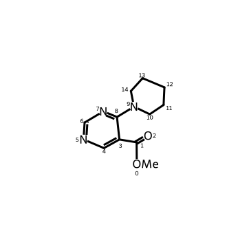 COC(=O)c1cn[c]nc1N1CCCCC1